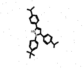 CC(C)c1ccc(C2=CC(c3ccc(C(C)C)cc3)N(c3ccc(C(C)(C)C)cc3)N2)cc1